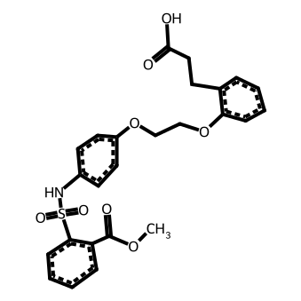 COC(=O)c1ccccc1S(=O)(=O)Nc1ccc(OCCOc2ccccc2CCC(=O)O)cc1